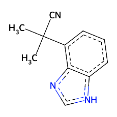 CC(C)(C#N)c1cccc2[nH]cnc12